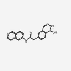 O=C(Cc1ccc2c(c1)C=NNB2O)Nc1ccc2cnccc2c1